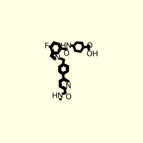 CNC(=O)c1ccc(-c2ccc(Cn3ccc4c(F)ccc(C(=O)NC5CCC(C(=O)O)CC5)c43)cc2)cn1